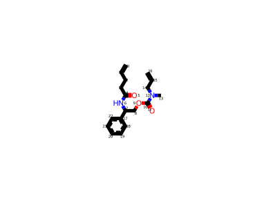 C=CCCC(=O)NC(COC(=O)N(C)CC=C)c1ccccc1